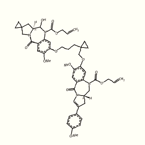 C=CCOC(=O)N1C[C@@H]2CC(c3ccc(OC)cc3)=CN2C(=O)c2cc(OC)c(OCC3(CCCOc4cc5c(cc4OC)C(=O)N4CC6(CC6)C[C@H]4C(O)N5C(=O)OCC=C)CC3)cc21